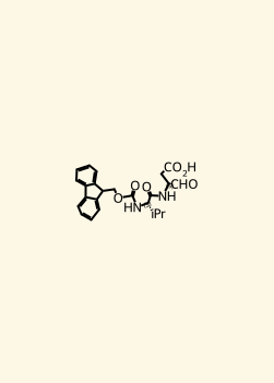 CC(C)[C@H](NC(=O)OCC1c2ccccc2-c2ccccc21)C(=O)N[C@H](C=O)CC(=O)O